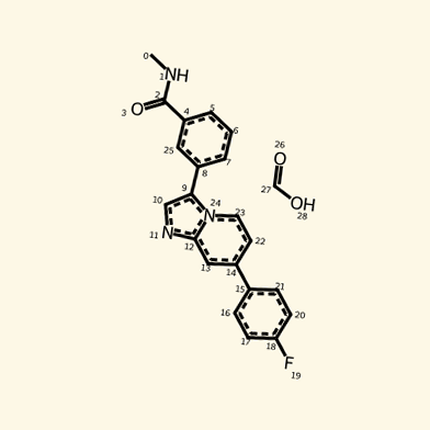 CNC(=O)c1cccc(-c2cnc3cc(-c4ccc(F)cc4)ccn23)c1.O=CO